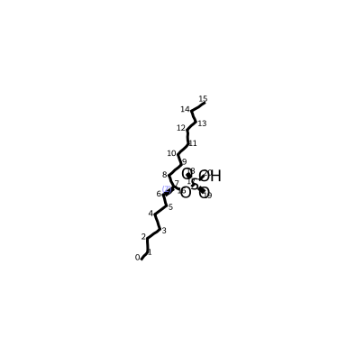 CCCCCC/C=C(/CCCCCCCC)OS(=O)(=O)O